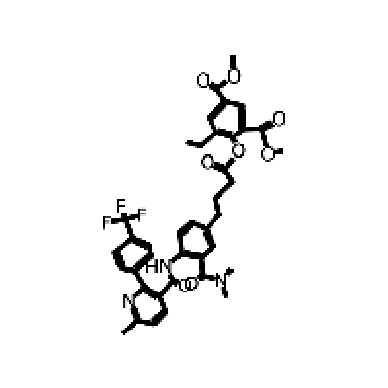 CCc1cc(C(=O)OC)cc(C(=O)OC)c1OC(=O)CCCc1ccc(NC(=O)c2ccc(C)nc2-c2ccc(C(F)(F)F)cc2)c(C(=O)N(C)C)c1